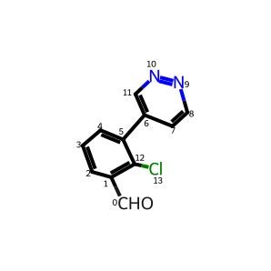 O=Cc1cccc(-c2ccnnc2)c1Cl